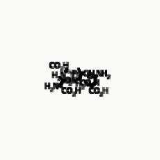 CC(C)[C@H](N)C(=O)O.C[C@@H](O)[C@H](N)C(=O)O.C[C@@H](O)[C@H](N)C(=O)O.NC(=O)C[C@H](N)C(=O)O